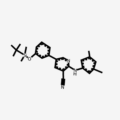 Cc1cc(C)cc(Nc2ncc(-c3cccc(O[Si](C)(C)C(C)(C)C)c3)cc2C#N)c1